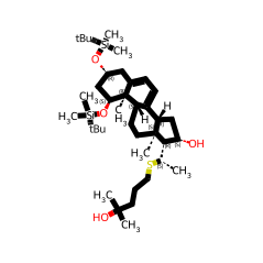 C[C@H](SCCCC(C)(C)O)[C@H]1[C@@H](O)C[C@H]2C3=CC=C4C[C@@H](O[Si](C)(C)C(C)(C)C)C[C@H](O[Si](C)(C)C(C)(C)C)[C@]4(C)[C@H]3CC[C@]12C